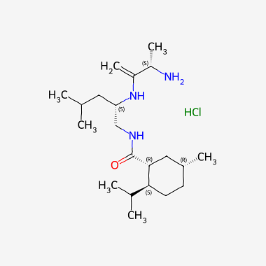 C=C(N[C@H](CNC(=O)[C@@H]1C[C@H](C)CC[C@H]1C(C)C)CC(C)C)[C@H](C)N.Cl